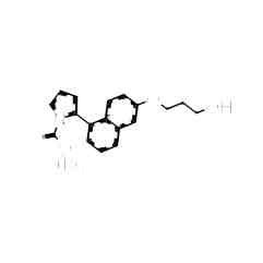 CC(C)(C)OC(=O)n1cccc1-c1cccc2cc(OCCCO)ccc12